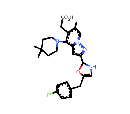 Cc1cn2nc(C3NC=C(Cc4ccc(F)cc4)O3)cc2c(N2CCC(C)(C)CC2)c1CC(=O)O